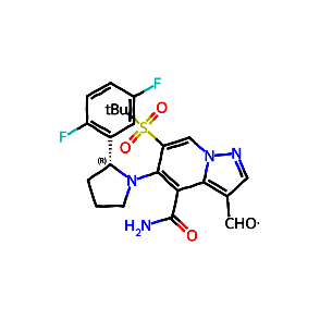 CC(C)(C)S(=O)(=O)c1cn2ncc([C]=O)c2c(C(N)=O)c1N1CCC[C@@H]1c1cc(F)ccc1F